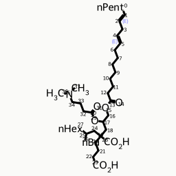 CCCCC/C=C/C/C=C/CCCCCCCC(=O)OCC(CC(CCCC(=O)O)(CC(CCCC)CCCCCC)C(=O)O)OC(=O)CCCN(C)C